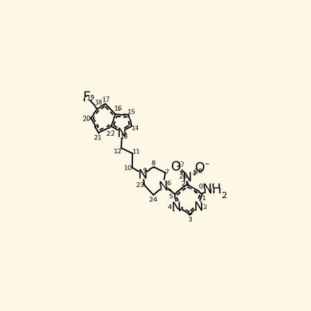 Nc1ncnc(N2CCN(CCCn3ccc4cc(F)ccc43)CC2)c1[N+](=O)[O-]